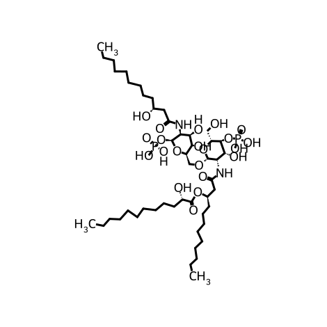 CCCCCCCCCC[C@H](O)C(=O)O[C@H](CCCCCCCCC)CC(=O)N[C@@H]1[C@H](OC[C@H]2O[C@@H](OP(=O)(O)O)[C@@H](NC(=O)C[C@H](O)CCCCCCCCC)[C@@H](O)[C@@H]2O)O[C@H](CO)[C@@H](OP(=O)(O)O)[C@@H]1O